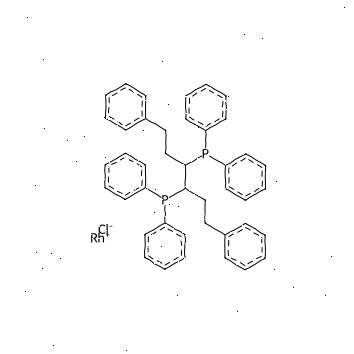 [Cl-].[Rh+].c1ccc(CCC(C(CCc2ccccc2)P(c2ccccc2)c2ccccc2)P(c2ccccc2)c2ccccc2)cc1